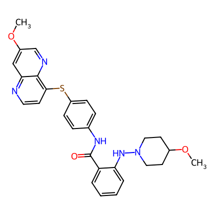 COc1cnc2c(Sc3ccc(NC(=O)c4ccccc4NN4CCC(OC)CC4)cc3)ccnc2c1